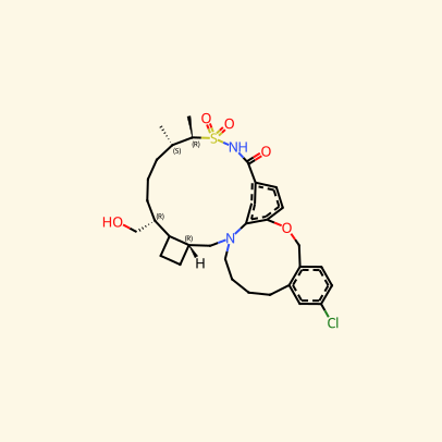 C[C@@H]1[C@@H](C)CCC[C@@H](CO)C2CC[C@H]2CN2CCCCc3cc(Cl)ccc3COc3ccc(cc32)C(=O)NS1(=O)=O